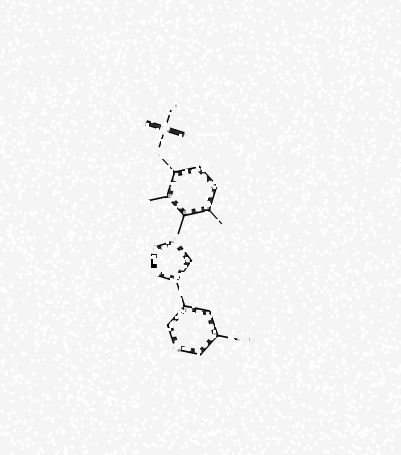 CCCS(=O)(=O)Nc1ccc(Cl)c(-n2cc(-c3cncc(OC)c3)nn2)c1F